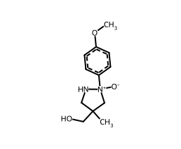 COc1ccc([N+]2([O-])CC(C)(CO)CN2)cc1